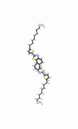 CCCCCCCCCc1ccc(-c2nc3ccc4c(ccc5nc(-c6ccc(CCCCCCCCC)s6)sc54)c3s2)s1